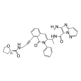 CC(NC(=O)c1c(N)nc2cccnn12)c1cc2cccc(C#CCNC(=O)[C@H]3CCCO3)c2c(=O)n1-c1ccccc1